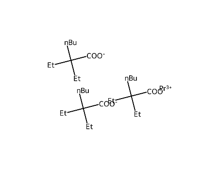 CCCCC(CC)(CC)C(=O)[O-].CCCCC(CC)(CC)C(=O)[O-].CCCCC(CC)(CC)C(=O)[O-].[Pr+3]